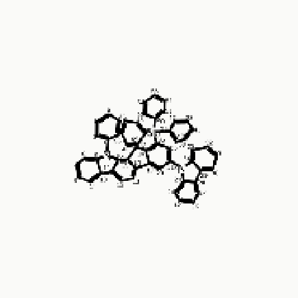 c1ccc(-n2c3ccccc3c3ccc4c(c32)Cc2c-4cc(-n3c4ccccc4c4ccccc43)cc2[Si](c2ccccc2)(c2ccccc2)c2ccccc2)cc1